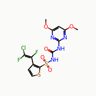 COc1cc(OC)nc(NC(=O)NS(=O)(=O)c2sccc2/C(F)=C(\F)Cl)n1